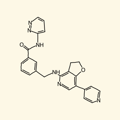 O=C(Nc1cccnn1)c1cccc(CNc2ncc(-c3ccncc3)c3c2CCO3)c1